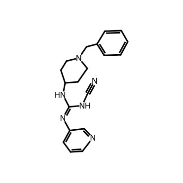 N#CNC(=Nc1cccnc1)NC1CCN(Cc2ccccc2)CC1